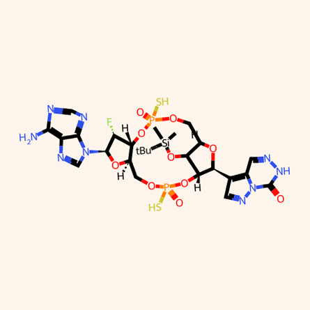 CC(C)(C)[Si](C)(C)OC1[C@H]2OP(=O)(S)OC[C@H]3O[C@@H](n4cnc5c(N)ncnc54)[C@H](F)[C@@H]3OP(=O)(S)OC[C@H]1O[C@H]2c1cnn2c(=O)[nH]ncc12